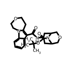 CC(C)(C)OC(=O)N1C2COCC1CC(NC(=O)c1c3n(c4ccccc14)CCOCC3)C2